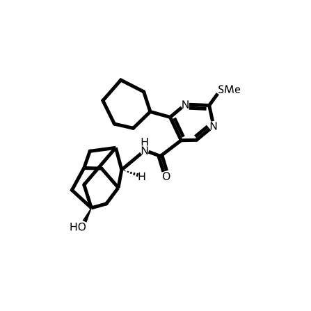 CSc1ncc(C(=O)N[C@H]2C3CC4CC2C[C@@](O)(C4)C3)c(C2CCCCC2)n1